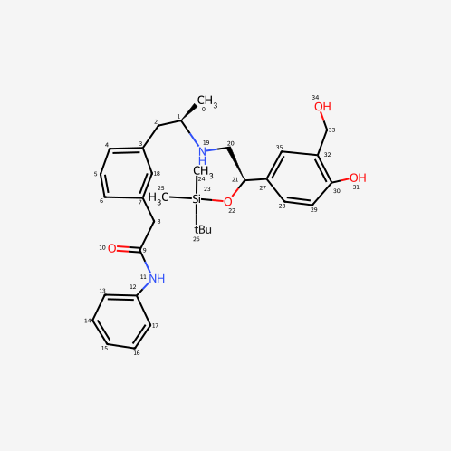 C[C@H](Cc1cccc(CC(=O)Nc2ccccc2)c1)NC[C@H](O[Si](C)(C)C(C)(C)C)c1ccc(O)c(CO)c1